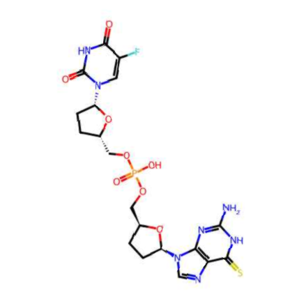 Nc1nc2c(ncn2[C@H]2CC[C@@H](COP(=O)(O)OC[C@@H]3CC[C@H](n4cc(F)c(=O)[nH]c4=O)O3)O2)c(=S)[nH]1